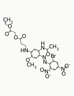 C=COC(=O)COC(=O)CCNc1cc(NC(C)=O)c(N=Nc2c(Br)cc([N+](=O)[O-])cc2[N+](=O)[O-])cc1OC